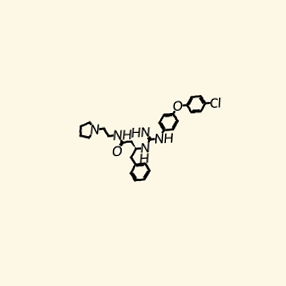 N=C(Nc1ccc(Oc2ccc(Cl)cc2)cc1)N[C@H](CC(=O)NCCN1CCCC1)Cc1ccccc1